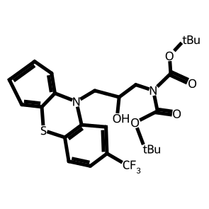 CC(C)(C)OC(=O)N(CC(O)CN1c2ccccc2Sc2ccc(C(F)(F)F)cc21)C(=O)OC(C)(C)C